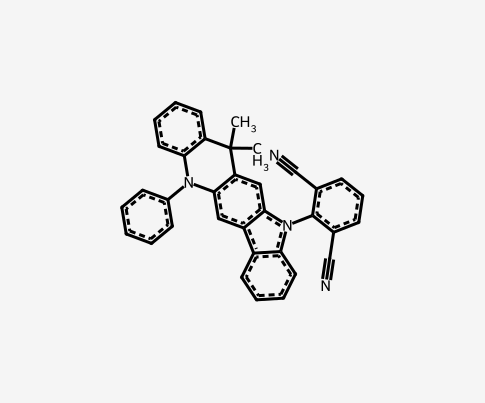 CC1(C)c2ccccc2N(c2ccccc2)c2cc3c4ccccc4n(-c4c(C#N)cccc4C#N)c3cc21